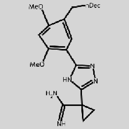 CCCCCCCCCCCc1cc(-c2nnc(C3(C(=N)N)CC3)[nH]2)c(OC)cc1OC